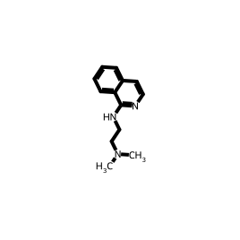 CN(C)CCNc1nccc2ccccc12